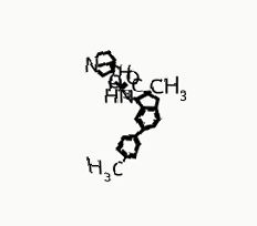 Cc1ccc(-c2ccc3c(c2)C(NC(=O)O[C@@H]2CN4CCC2CC4)C(C)(C)C3)cc1